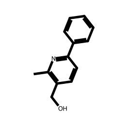 Cc1nc(-c2ccccc2)ccc1CO